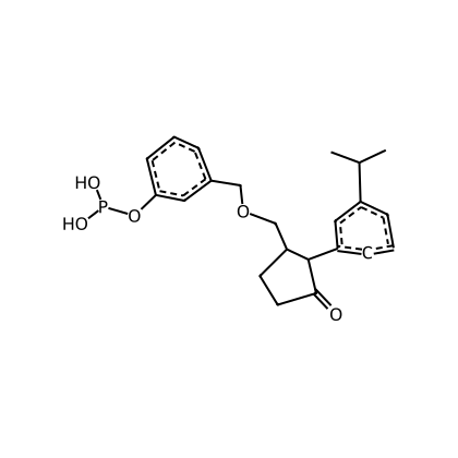 CC(C)c1cccc(C2C(=O)CCC2COCc2cccc(OP(O)O)c2)c1